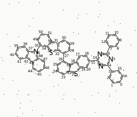 c1ccc(-c2nc(-c3ccccc3)nc(-c3ccc4c(c3)sc3cccc(-c5cccc6c5sc5c(-n7c8ccccc8c8ccccc87)cccc56)c34)n2)cc1